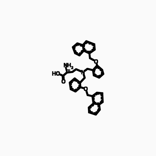 N[C@@H](CCN(Cc1ccccc1OCc1cccc2ccccc12)Cc1ccccc1OCc1cccc2ccccc12)C(=O)O